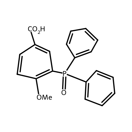 COc1ccc(C(=O)O)cc1P(=O)(c1ccccc1)c1ccccc1